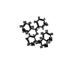 c1cncc(C(Cc2cccnc2-n2cnc3ncccc32)c2cccnc2)c1